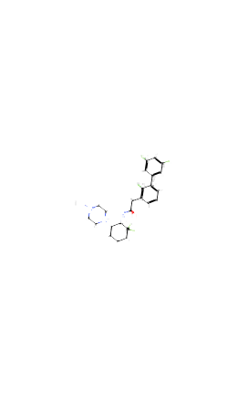 CC(C)N1CCN([C@H]2CCCC(F)(F)[C@@H]2NC(=O)Cc2cccc(-c3cc(F)cc(F)c3)c2F)CC1